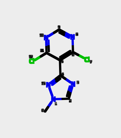 Cn1cnc(-c2c(Cl)ncnc2Cl)n1